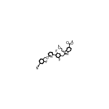 COCCn1c(Cc2cc(F)c(-c3cccc(OCc4ccc(C#N)cc4F)n3)cc2F)nc2ccc(C(=O)OC)cc21